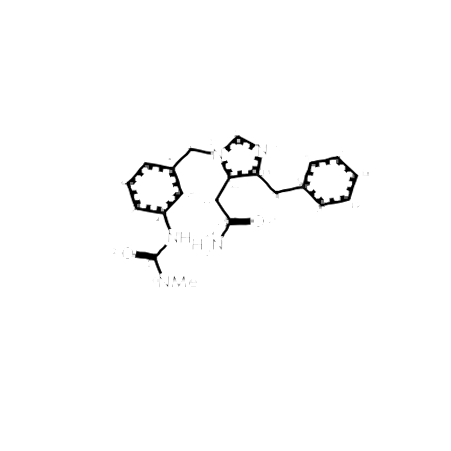 CNC(=O)Nc1cccc(Cn2cnc(Cc3ccccc3)c2CC(N)=O)c1